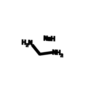 NCN.[NaH]